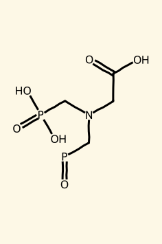 O=PCN(CC(=O)O)CP(=O)(O)O